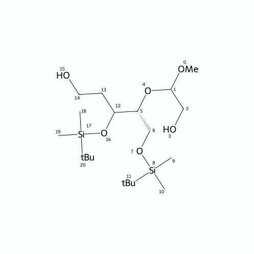 COC(CO)O[C@H](CO[Si](C)(C)C(C)(C)C)C(CCO)O[Si](C)(C)C(C)(C)C